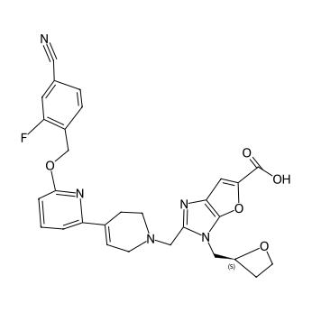 N#Cc1ccc(COc2cccc(C3=CCN(Cc4nc5cc(C(=O)O)oc5n4C[C@@H]4CCO4)CC3)n2)c(F)c1